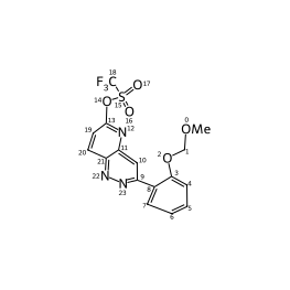 COCOc1ccccc1-c1cc2nc(OS(=O)(=O)C(F)(F)F)ccc2nn1